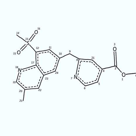 COC(=O)c1ccnc(Cc2cc(S(C)(=O)=O)c3ncc(C)cc3c2)c1